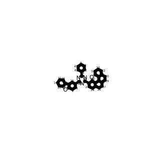 c1ccc(-c2nc(-c3ccc4oc5ccccc5c4c3)nc(-c3ccc4ccc5ccc6cccc7c6c5c4c3O7)n2)cc1